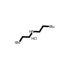 CC(C)(C)CCNCCC(C)(C)C.Cl